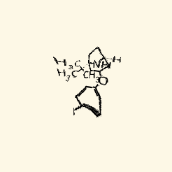 CC(C)(C)[C@@]12CC[C@@H](C[C@@H](Oc3ccc(I)cc3)C1)N2